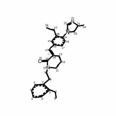 CCc1ccccc1CCN1CCC/C(=C\c2ccc(N3C=NC(C)C3)c(CC)c2)C1=O